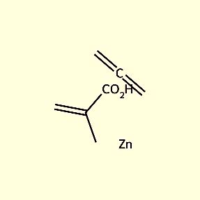 C=C(C)C(=O)O.C=C=C.[Zn]